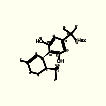 C=C(C)[C@H]1CCC(C)=C[C@@H]1c1c(O)cc(C(C)(C)CCCCCC)cc1O